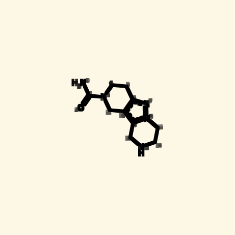 NC(=O)N1CCc2nn3c(c2C1)CNCC3